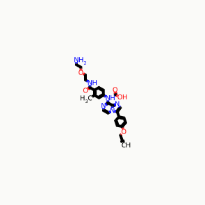 C#CCOc1ccc(-c2cnc3c(Nc4ccc(C(=O)NCCOCCN)c(C)c4)nccn23)cc1.O=CO